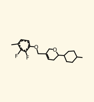 Cc1ccc(OCC2=CCC(C3CCC(C)CC3)OC2)c(F)c1F